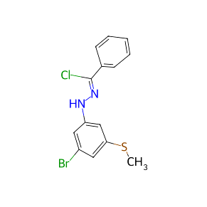 CSc1cc(Br)cc(NN=C(Cl)c2ccccc2)c1